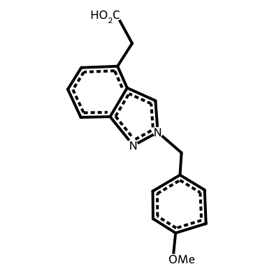 COc1ccc(Cn2cc3c(CC(=O)O)cccc3n2)cc1